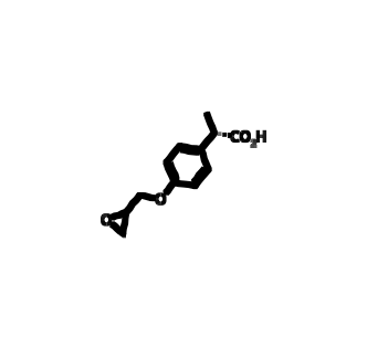 C[C@H](C(=O)O)c1ccc(OCC2CO2)cc1